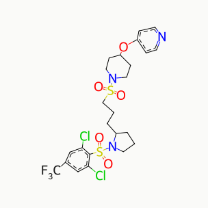 O=S(=O)(CCCC1CCCN1S(=O)(=O)c1c(Cl)cc(C(F)(F)F)cc1Cl)N1CCC(Oc2ccncc2)CC1